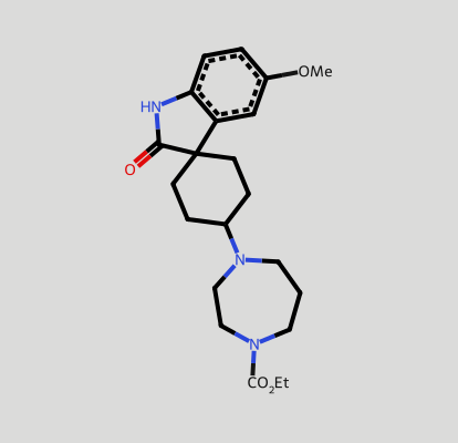 CCOC(=O)N1CCCN(C2CCC3(CC2)C(=O)Nc2ccc(OC)cc23)CC1